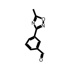 Cc1nc(-c2cccc([C]=O)c2)no1